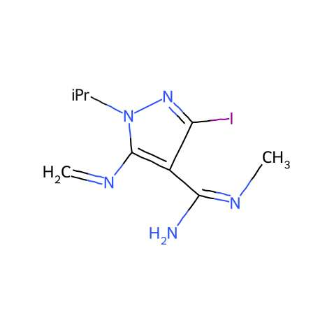 C=Nc1c(/C(N)=N\C)c(I)nn1C(C)C